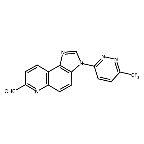 O=Cc1ccc2c(ccc3c2ncn3-c2ccc(C(F)(F)F)nn2)n1